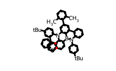 Cc1cccc(C)c1-c1cc2c3c(c1)N(c1ccc(C(C)(C)C)cc1-c1ccccc1)c1c(ccc4oc5ccccc5c14)B3N(c1ccc(C(C)(C)C)cc1)c1ccccc1-2